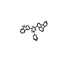 CC1(C)c2ccccc2-c2cc(-c3nc(-c4ccccc4)nc(-c4ccc5c6c(cccc46)-c4ccccc4-5)n3)ccc21